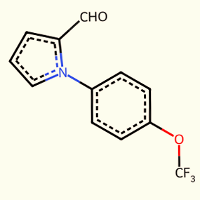 O=Cc1cccn1-c1ccc(OC(F)(F)F)cc1